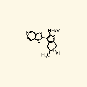 CC(=O)Nc1sc2c(c1-c1nc3cnccc3s1)CC(C)N(Cl)C2